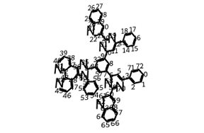 c1ccc(-c2cc(-c3cc(-c4cc(-c5ccccc5)nc(-c5cnc6ccccc6c5)n4)cc(-c4nc5c6cccnc6c6ncccc6c5n4-c4ccccc4)c3)nc(-c3cnc4ccccc4c3)n2)cc1